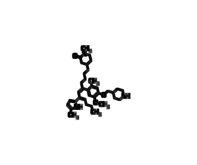 CCC/C=C(/C=C(/CCCCC1CCN(C)C(=O)C1)c1cc(OC)c(OCC2CCNCC2)cc1C)c1ccc(C)[nH]1